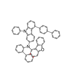 c1ccc(-c2ccc(-c3cccc4c3c3ccc(N(c5ccccc5-c5ccccc5)c5cccc6oc7ccccc7c56)cc3n4-c3ccccc3)cc2)cc1